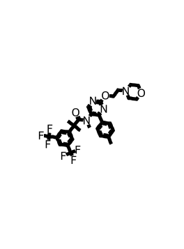 Cc1ccc(-c2nc(OCCN3CCOCC3)ncc2N(C)C(=O)C(C)(C)c2cc(C(F)(F)F)cc(C(F)(F)F)c2)cc1